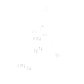 CC(C)(C)c1ccc(S(=O)(=O)Nc2ccc(Br)c3cc(-c4cn[nH]c4)nn23)cc1